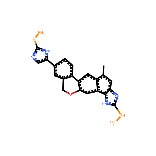 Cc1cc2nc(PP)[nH]c2c2cc3c(cc12)-c1ccc(-c2cnc(PP)[nH]2)cc1CO3